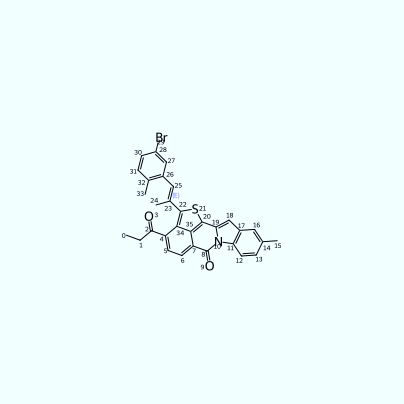 CCC(=O)c1ccc2c(=O)n3c4ccc(C)cc4cc3c3sc(/C(C)=C/c4cc(Br)ccc4C)c1c23